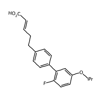 CC(C)Oc1ccc(F)c(-c2ccc(CCC=CC(=O)O)cc2)c1